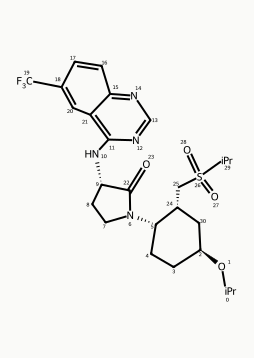 CC(C)O[C@H]1CC[C@H](N2CC[C@H](Nc3ncnc4ccc(C(F)(F)F)cc34)C2=O)[C@H](CS(=O)(=O)C(C)C)C1